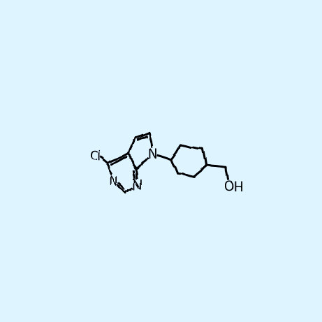 OCC1CCC(n2ccc3c(Cl)ncnc32)CC1